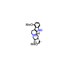 CC[C@@H]1CN2CCc3c([nH]c4cccc(OC)c34)[C@@H]2C[C@@H]1/C=C\OC